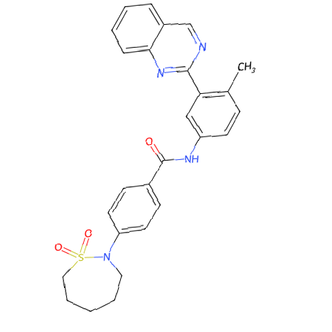 Cc1ccc(NC(=O)c2ccc(N3CCCCCS3(=O)=O)cc2)cc1-c1ncc2ccccc2n1